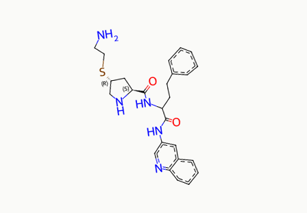 NCCS[C@H]1CN[C@H](C(=O)NC(CCc2ccccc2)C(=O)Nc2cnc3ccccc3c2)C1